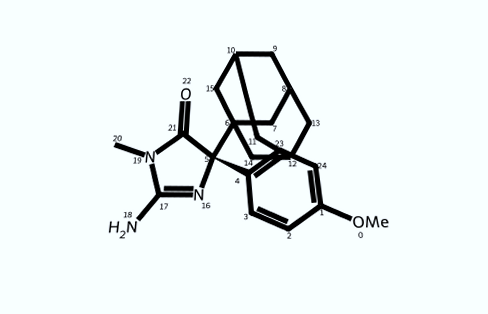 COc1ccc([C@@]2(C34CC5CC(CC(C5)C3)C4)N=C(N)N(C)C2=O)cc1